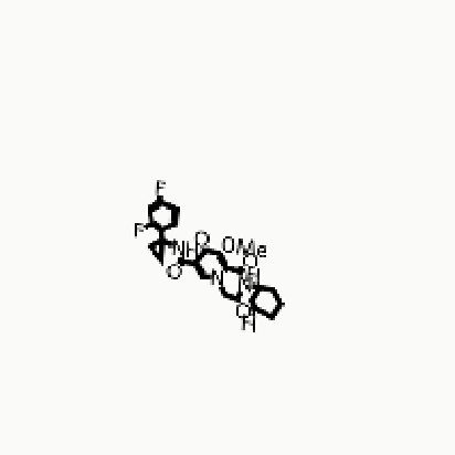 COc1c2n(cc(C(=O)NC3(c4ccc(F)cc4F)CC3)c1=O)CC1O[C@H]3CCC[C@@H](C3)N1C2=O